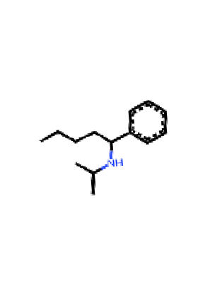 CCCCC(NC(C)C)c1ccccc1